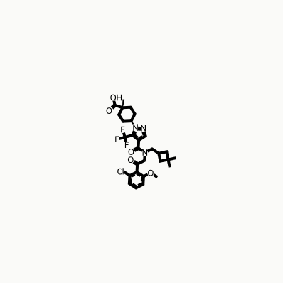 COc1cccc(Cl)c1C(=O)CN(CC1CC(C)(C)C1)C(=O)c1cnn([C@H]2CC[C@](C)(C(=O)O)CC2)c1C(F)(F)F